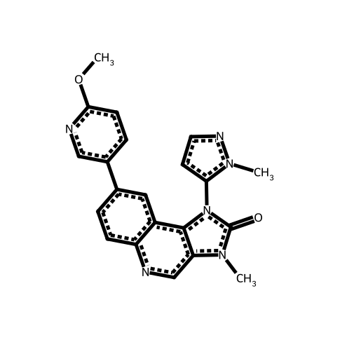 COc1ccc(-c2ccc3ncc4c(c3c2)n(-c2ccnn2C)c(=O)n4C)cn1